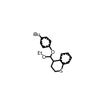 CCOC(Oc1ccc(C(C)CC)cc1)C1CCSc2ccccc21